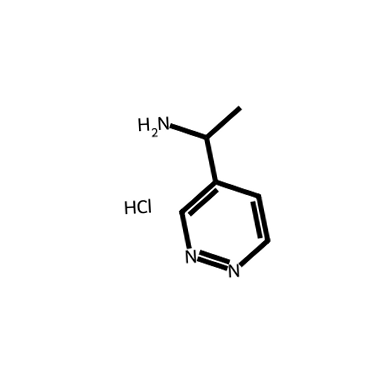 CC(N)c1ccnnc1.Cl